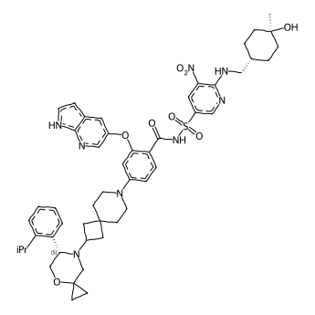 CC(C)c1ccccc1[C@H]1COC2(CC2)CN1C1CC2(CCN(c3ccc(C(=O)NS(=O)(=O)c4cnc(NC[C@H]5CC[C@](C)(O)CC5)c([N+](=O)[O-])c4)c(Oc4cnc5[nH]ccc5c4)c3)CC2)C1